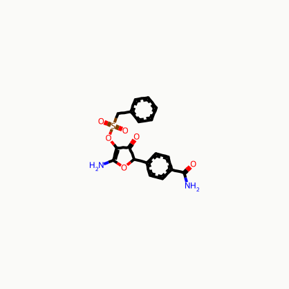 NC(=O)c1ccc(C2OC(N)=C(OS(=O)(=O)Cc3ccccc3)C2=O)cc1